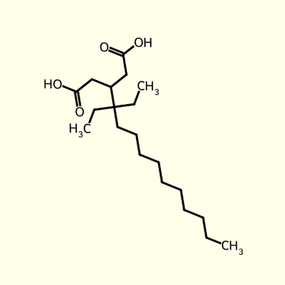 CCCCCCCCCCC(CC)(CC)C(CC(=O)O)CC(=O)O